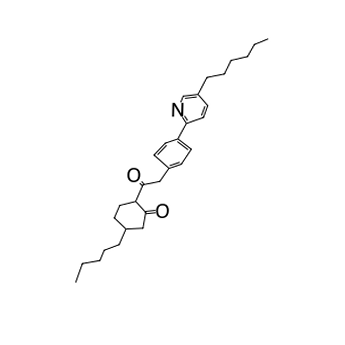 CCCCCCc1ccc(-c2ccc(CC(=O)C3CCC(CCCCC)CC3=O)cc2)nc1